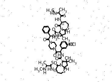 CNC(C)C(=S)N[C@H]1CCS[C@H]2CC(C)(C)[C@@H](C(=O)NC(C(=O)N3CCN(C(=O)C(NC(=O)[C@H]4N5C(=O)[C@@H](NC(=S)C(C)NC)CCS[C@H]5CC4(C)C)c4ccccc4)CC3)c3ccccc3)N2C1=O.Cl.Cl